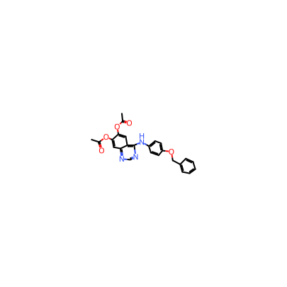 CC(=O)Oc1cc2ncnc(Nc3ccc(OCc4ccccc4)cc3)c2cc1OC(C)=O